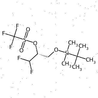 CC(C)(C)[Si](C)(C)OC[C@@H](OS(=O)(=O)C(F)(F)F)C(F)F